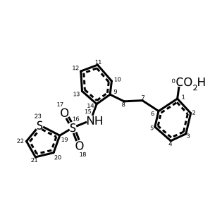 O=C(O)c1ccccc1CCc1ccccc1NS(=O)(=O)c1cccs1